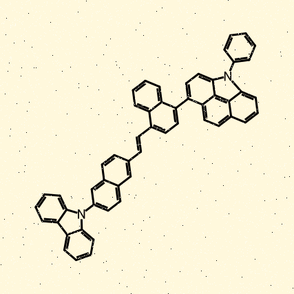 C(=C\c1ccc(-c2ccc3c4c2ccc2cccc(c24)n3-c2ccccc2)c2ccccc12)/c1ccc2cc(-n3c4ccccc4c4ccccc43)ccc2c1